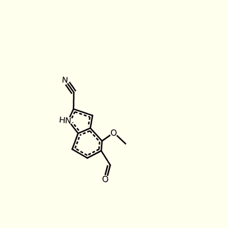 COc1c(C=O)ccc2[nH]c(C#N)cc12